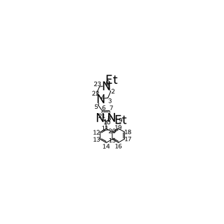 CCN1CCN(Cc2cn(CC)c(-c3cccc4ccccc34)n2)CC1